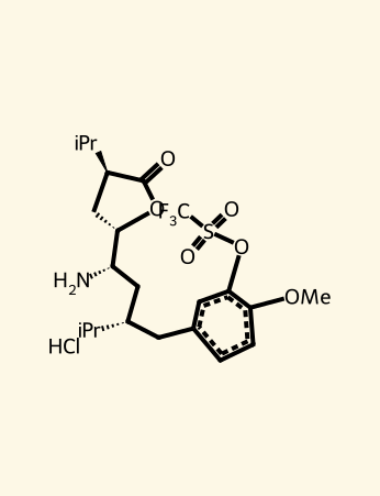 COc1ccc(C[C@@H](C[C@H](N)[C@@H]2C[C@@H](C(C)C)C(=O)O2)C(C)C)cc1OS(=O)(=O)C(F)(F)F.Cl